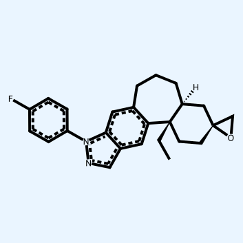 CC[C@]12CC[C@]3(CO3)C[C@@H]1CCCc1cc3c(cnn3-c3ccc(F)cc3)cc12